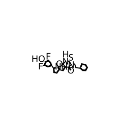 O=C1NC(=S)N(CCc2ccccc2)C(=O)C1=Cc1ccc(-c2cc(F)c(O)c(F)c2)[nH]1